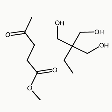 CCC(CO)(CO)CO.COC(=O)CCC(C)=O